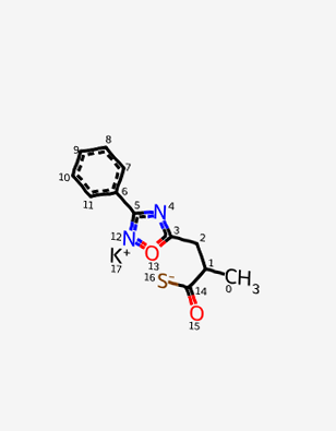 CC(Cc1nc(-c2ccccc2)no1)C(=O)[S-].[K+]